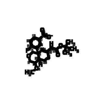 COC1COC[C@]2(c3cc([N+](=O)[O-])ccc3F)N=C(NC(=O)OC(C)(C)C)SC[C@H]12